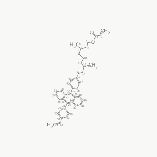 C=CC(=O)OCCC(C)CCCC(C)CCc1ccc(-c2c3ccccc3c(-c3ccc(C=C)cc3)c3ccccc23)cc1